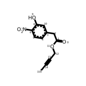 O=C(Cc1ccc([N+](=O)[O-])c(O)c1)OCC#CI